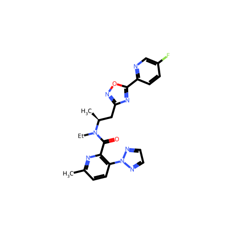 CCN(C(=O)c1nc(C)ccc1-n1nccn1)[C@@H](C)Cc1noc(-c2ccc(F)cn2)n1